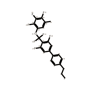 CCCc1ccc(-c2cc(F)c(C(F)(F)Oc3cc(C)c(F)c(F)c3F)c(F)c2)cc1